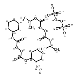 CC(C)OC(=O)OOC(=O)OC(C)C.O=C(OOC(=O)OC1CCCCC1)OC1CCCCC1.O=S(=O)([O-])OOS(=O)(=O)[O-].[K+].[K+]